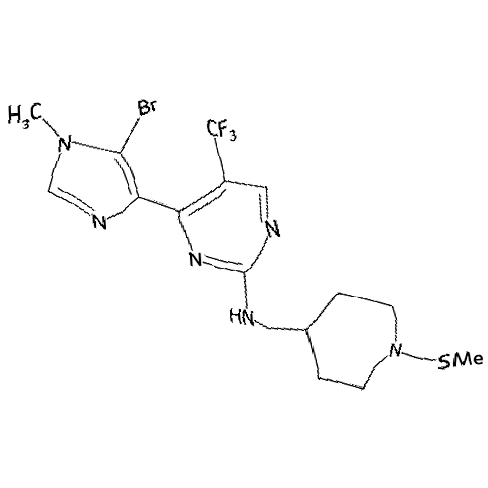 CSN1CCC(Nc2ncc(C(F)(F)F)c(-c3ncn(C)c3Br)n2)CC1